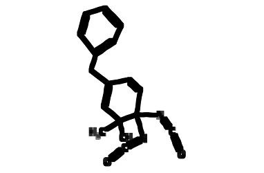 CC1(C)C=C(Cc2ccccc2)C=CC1(N=C=O)N=C=O